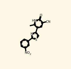 Cc1[nH]c(=O)c(C#N)cc1-c1csc(-c2cccc([N+](=O)[O-])c2)n1